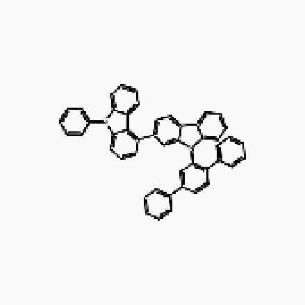 c1ccc(-c2ccc(-c3ccccc3)c(-n3c4ccccc4c4ccc(-c5cccc6c5c5ccccc5n6-c5ccccc5)cc43)c2)cc1